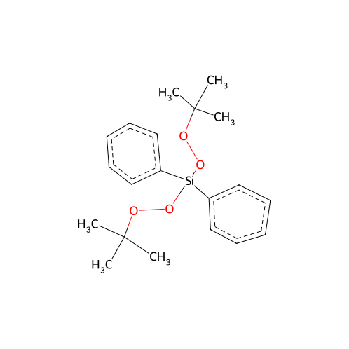 CC(C)(C)OO[Si](OOC(C)(C)C)(c1ccccc1)c1ccccc1